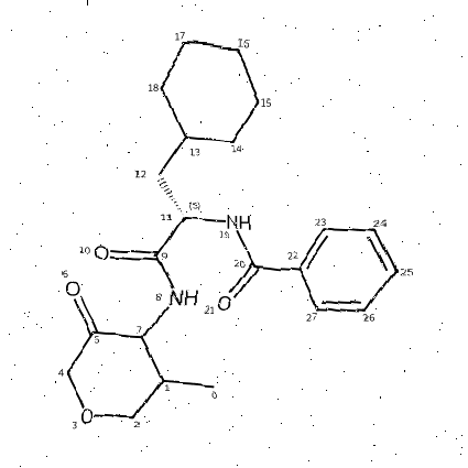 CC1COCC(=O)C1NC(=O)[C@H](CC1CCCCC1)NC(=O)c1ccccc1